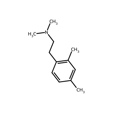 Cc1ccc(CCN(C)C)c(C)c1